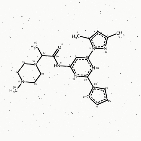 Cc1cc(C)n(-c2cc(NC(=O)C(C)N3CCN(C)CC3)nc(-c3ccco3)n2)n1